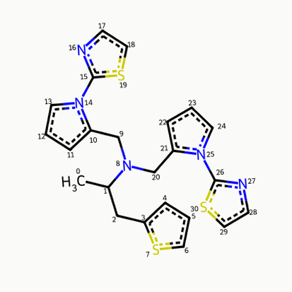 CC(Cc1cccs1)N(Cc1cccn1-c1nccs1)Cc1cccn1-c1nccs1